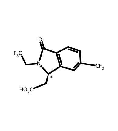 O=C(O)C[C@@H]1c2cc(C(F)(F)F)ccc2C(=O)N1CC(F)(F)F